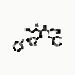 CCN1C(N[C@@H](CO)Cc2ccccc2)=Nc2ncn(Cc3ccccc3)c2C1O